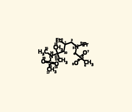 CC[C@@H](CN(CS(C)(=O)=O)C(C)C)CC(C)(C)N(C)S(C)(=O)=O